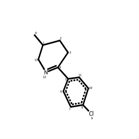 CC1CCC(c2ccc(Cl)cc2)=NC1